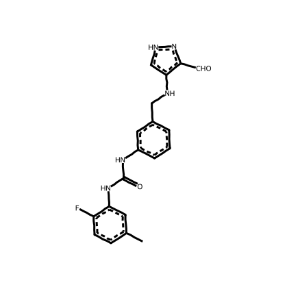 Cc1ccc(F)c(NC(=O)Nc2cccc(CNc3c[nH]nc3C=O)c2)c1